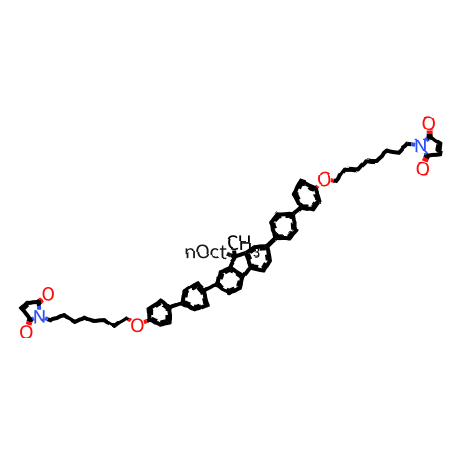 CCCCCCCCC1(C)c2cc(-c3ccc(-c4ccc(OCCCCCCCCN5C(=O)C=CC5=O)cc4)cc3)ccc2-c2ccc(-c3ccc(-c4ccc(OCCCCCCCCN5C(=O)C=CC5=O)cc4)cc3)cc21